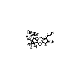 C=CCC1=C(C)[C@@H](O[C@@H]2O[C@@H](C(Br)(Br)Br)[C@@H]3[C@H]2C3(C)C)CC1=O